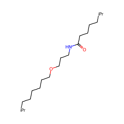 CC(C)CCCCCCOCCCNC(=O)CCCCC(C)C